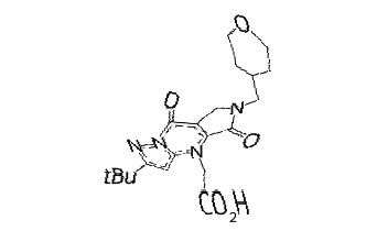 CC(C)(C)c1cc2n(CC(=O)O)c3c(c(=O)n2n1)CN(CC1CCOCC1)C3=O